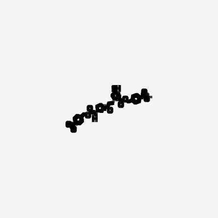 O=C(N[C@H]1CCN(C(=O)/C=C/[C@@H]2C[C@H](S)CN2C(=O)OCc2ccc([N+](=O)[O-])cc2)C1)OCc1ccc([N+](=O)[O-])cc1